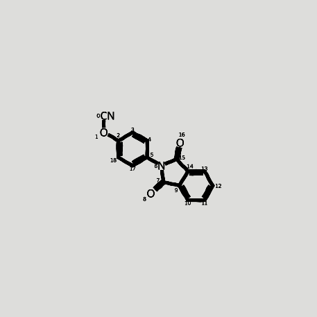 N#COc1ccc(N2C(=O)c3ccccc3C2=O)cc1